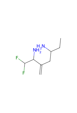 C=C(CC(N)CC)C(N)C(F)F